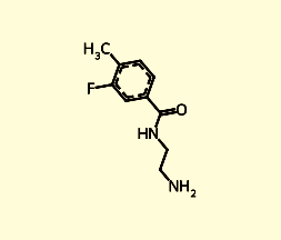 Cc1ccc(C(=O)NCCN)cc1F